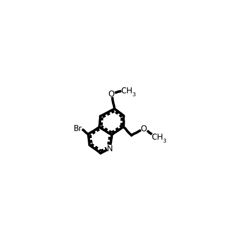 COCc1cc(OC)cc2c(Br)ccnc12